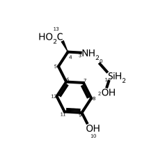 C[SiH2]O.N[C@@H](Cc1ccc(O)cc1)C(=O)O